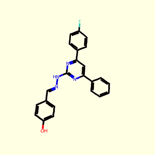 Oc1ccc(C=NNc2nc(-c3ccccc3)cc(-c3ccc(F)cc3)n2)cc1